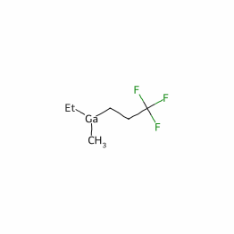 C[CH2][Ga]([CH3])[CH2]CC(F)(F)F